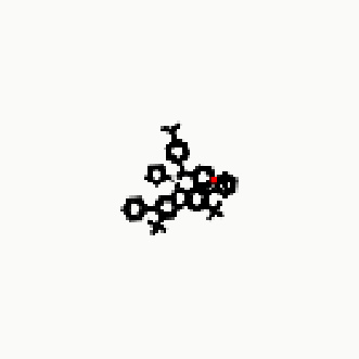 CC(C)c1ccc([C](c2ccc(C(C)C)cc2)=[Zr]([C]2=CC=CC2)[CH]2c3cc(-c4ccccc4)c(C(C)(C)C)cc3-c3cc(C(C)(C)C)c(-c4ccccc4)cc32)cc1